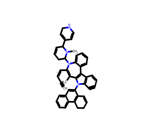 C#C/C=C\C1=C(C)c2c(c3ccc#cc3n2-c2cc3ccccc3c3c2C=CCC3)-c2ccccc2N1C1CC=CC(C2=CCNC=C2)N1C